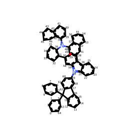 c1ccc(C2(c3ccccc3)c3ccccc3-c3cc(-n4c5ccccc5c5ccc(-c6ccccc6N(c6cccc7ccccc67)c6cccc7ccccc67)cc54)ccc32)cc1